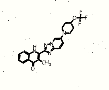 Cc1c(-c2nc3ccc(N4CCC(OC(F)(F)F)CC4)cn3n2)[nH]c2ccccc2c1=O